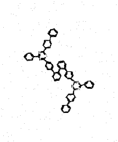 c1ccc(-c2ccc(-c3nc(-c4ccccc4)nc(-c4ccc(-c5ccccc5-c5ccccc5-c5ccc(-c6nc(-c7ccccc7)nc(-c7ccc(-c8ccccc8)cc7)n6)cc5)cc4)n3)cc2)cc1